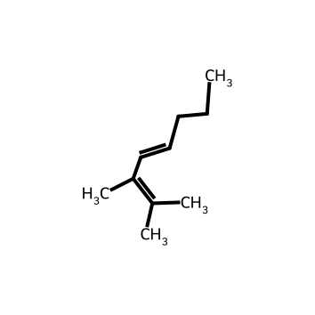 CCCC=CC(C)=C(C)C